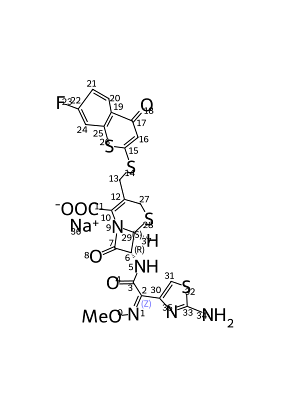 CO/N=C(\C(=O)N[C@@H]1C(=O)N2C(C(=O)[O-])=C(CSc3cc(=O)c4ccc(F)cc4s3)CS[C@@H]12)c1csc(N)n1.[Na+]